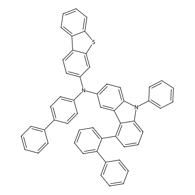 c1ccc(-c2ccc(N(c3ccc4c(c3)sc3ccccc34)c3ccc4c(c3)c3c(-c5ccccc5-c5ccccc5)cccc3n4-c3ccccc3)cc2)cc1